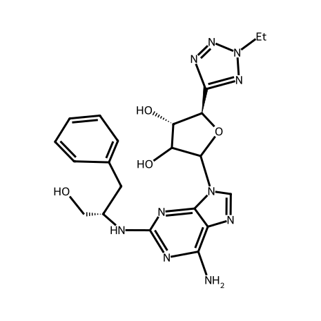 CCn1nnc([C@H]2OC(n3cnc4c(N)nc(N[C@H](CO)Cc5ccccc5)nc43)C(O)[C@@H]2O)n1